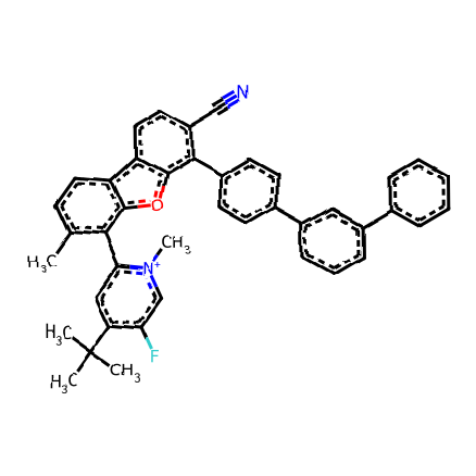 Cc1ccc2c(oc3c(-c4ccc(-c5cccc(-c6ccccc6)c5)cc4)c(C#N)ccc32)c1-c1cc(C(C)(C)C)c(F)c[n+]1C